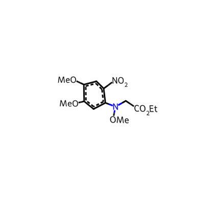 CCOC(=O)CN(OC)c1cc(OC)c(OC)cc1[N+](=O)[O-]